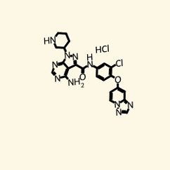 Cl.Nc1ncnc2c1c(C(=O)Nc1ccc(Oc3ccn4ncnc4c3)c(Cl)c1)nn2C1CCCNC1